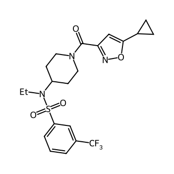 CCN(C1CCN(C(=O)c2cc(C3CC3)on2)CC1)S(=O)(=O)c1cccc(C(F)(F)F)c1